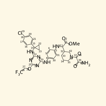 COC(=O)C(Nc1ccc(Nc2nc(NC3(c4ccc(Cl)cc4)CC3)nc(OCC(F)(F)F)n2)cc1)C1CCCN(C(=O)C(N)=O)C1